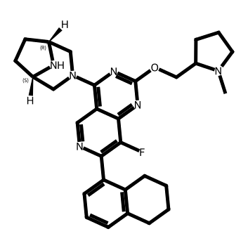 CN1CCCC1COc1nc(N2C[C@H]3CC[C@@H](C2)N3)c2cnc(-c3cccc4c3CCCC4)c(F)c2n1